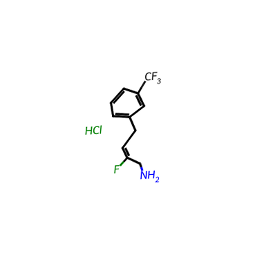 Cl.NC/C(F)=C\Cc1cccc(C(F)(F)F)c1